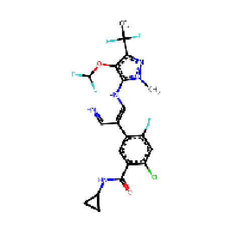 Cn1nc(C(F)(F)C(F)(F)F)c(OC(F)F)c1N/C=C(\C=N)c1cc(C(=O)NC2CC2)c(Cl)cc1F